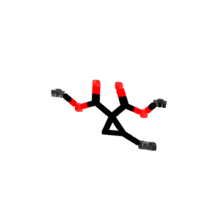 CCCOC(=O)C1(C(=O)OCCC)CC1C=O